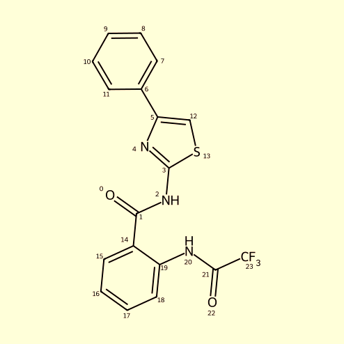 O=C(Nc1nc(-c2ccccc2)cs1)c1ccccc1NC(=O)C(F)(F)F